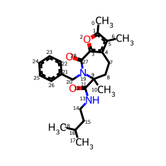 Cc1oc2c(c1C)CCC(C)(C(=O)NCCC(C)C)N(Cc1ccccc1)C2=O